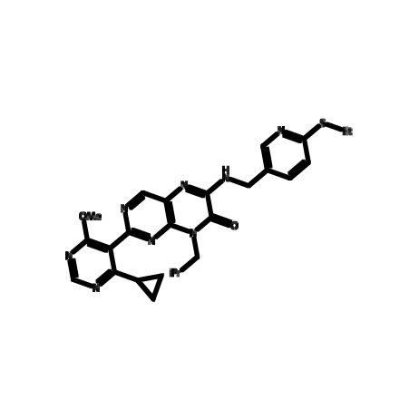 CCSc1ccc(CNc2nc3cnc(-c4c(OC)ncnc4C4CC4)nc3n(CC(C)C)c2=O)cn1